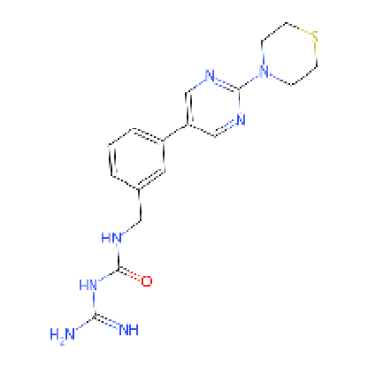 N=C(N)NC(=O)NCc1cccc(-c2cnc(N3CCSCC3)nc2)c1